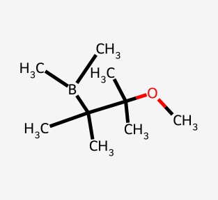 COC(C)(C)C(C)(C)B(C)C